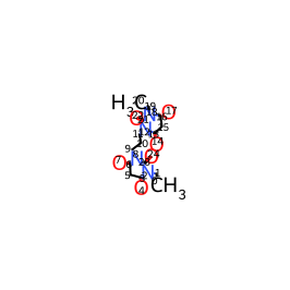 CCN1C(=O)CC(=O)N(CCCN2C(=O)CC(=O)N(CC)C2=O)C1=O